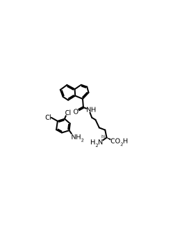 N[C@@H](CCCCNC(=O)c1cccc2ccccc12)C(=O)O.Nc1ccc(Cl)c(Cl)c1